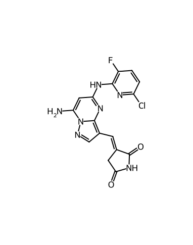 Nc1cc(Nc2nc(Cl)ccc2F)nc2c(/C=C3\CC(=O)NC3=O)cnn12